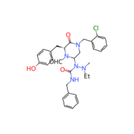 CCN(C)N(C(=O)NCc1ccccc1)C1CN(Cc2ccccc2Cl)C(=O)[C@H](Cc2ccc(O)cc2)N1C=O